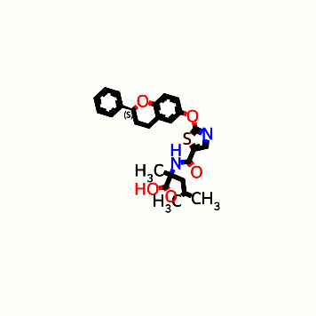 CC(C)CC(C)(NC(=O)c1cnc(Oc2ccc3c(c2)CC[C@@H](c2ccccc2)O3)s1)C(=O)O